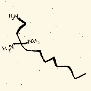 CCCCCCCCC(N)(N)CCN